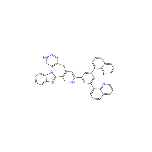 C1=CC2=C(CN1)n1c(nc3ccccc31)C1=C(C=C(c3cc(-c4cccc5cccnc45)cc(-c4cccc5cccnc45)c3)NC1)S2